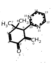 C=C1C(=O)C=CC(C)(C)C1c1ncccn1